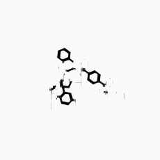 CC(C)(C)OC(=O)c1ccc(C(=O)N[C@@H](Cc2ccccc2)C(=O)N2CCC3(C2)OC(=O)Nc2ccc(Cl)cc23)cc1